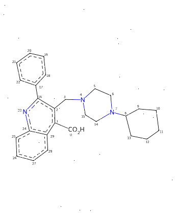 O=C(O)c1c(CN2CCN(C3CCCCC3)CC2)c(-c2ccccc2)nc2ccccc12